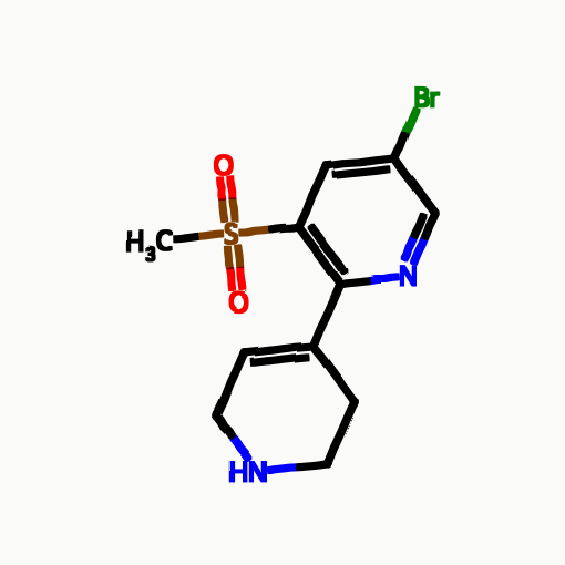 CS(=O)(=O)c1cc(Br)cnc1C1=CCNCC1